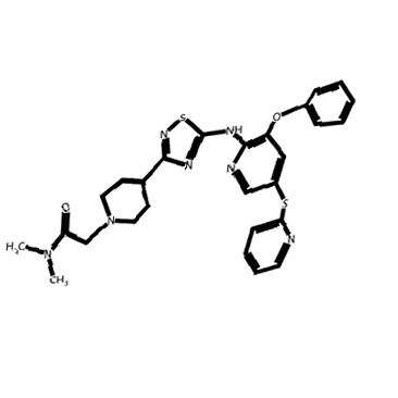 CN(C)C(=O)CN1CCC(c2nsc(Nc3ncc(Sc4ccccn4)cc3Oc3ccccc3)n2)CC1